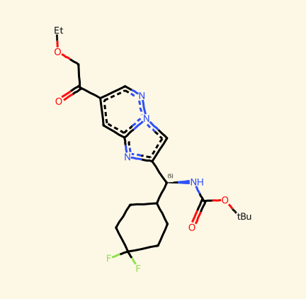 CCOCC(=O)c1cnn2cc([C@@H](NC(=O)OC(C)(C)C)C3CCC(F)(F)CC3)nc2c1